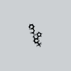 O=C(Cc1ccccn1)NCc1ccc(C(F)(F)F)nc1C1CCCC1